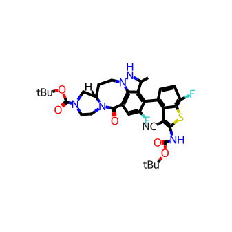 CC1NN2CC[C@H]3CN(C(=O)OC(C)(C)C)CCN3C(=O)c3cc(F)c(-c4ccc(F)c5sc(NC(=O)OC(C)(C)C)c(C#N)c45)c1c32